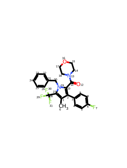 Cc1c(-c2ccc(F)cc2)c(C(=O)N2CCOCC2)n(Cc2ccccc2)c1C(F)(F)F